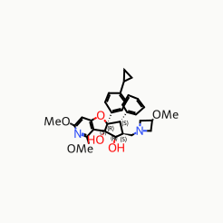 COc1cc2c(c(OC)n1)[C@]1(O)[C@H](O)[C@H](CN3CC(OC)C3)[C@@H](c3ccccc3)[C@]1(c1ccc(C3CC3)cc1)O2